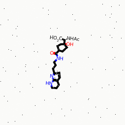 CC(=O)N[C@@H](C(=O)O)C1(O)CCC(C(=O)NCCCc2ccc3c(n2)NCCC3)CC1